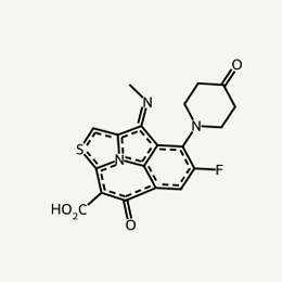 CN=c1c2c(N3CCC(=O)CC3)c(F)cc3c(=O)c(C(=O)O)c4scc1n4c32